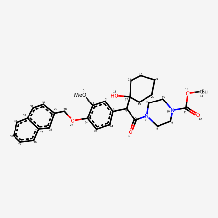 COc1cc(C(C(=O)N2CCN(C(=O)OC(C)(C)C)CC2)C2(O)CCCCC2)ccc1OCc1ccc2ccccc2c1